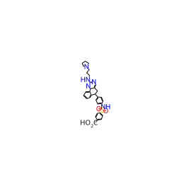 O=C(O)c1ccc(S(=O)(=O)Nc2ccc(C3Cc4cnc(NCCCN5CCCC5)nc4-c4ccccc43)cc2)cc1